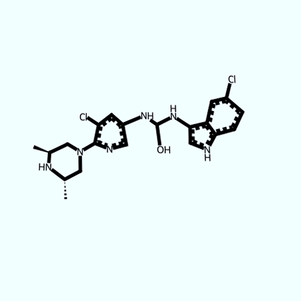 C[C@H]1CN(c2ncc(NC(O)Nc3c[nH]c4ccc(Cl)cc34)cc2Cl)C[C@H](C)N1